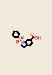 O=C(O)c1ccc2c(c1)N(S(=O)(=O)c1ccc(F)cc1)CC2